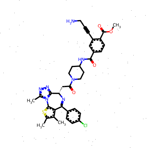 COC(=O)c1ccc(C(=O)NC2CCN(C(=O)C[C@@H]3N=C(c4ccc(Cl)cc4)c4c(sc(C)c4C)-n4c(C)nnc43)CC2)cc1C#CCN